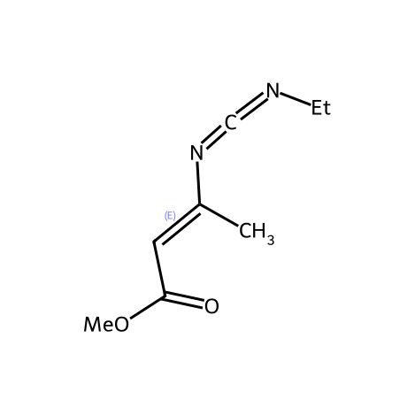 CCN=C=N/C(C)=C/C(=O)OC